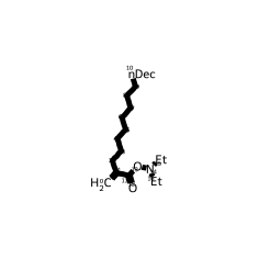 C=C(CCCCCCCCCCCCCCCCCC)C(=O)ON(CC)CC